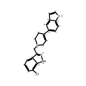 Clc1cccc2c(CN3CC=C(c4ccc5occc5c4)CC3)n[nH]c12